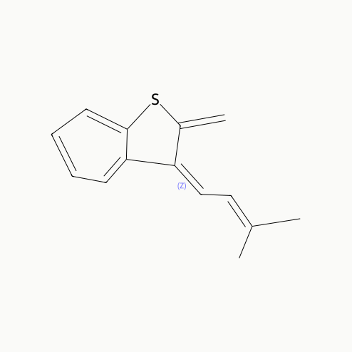 C=c1sc2ccccc2/c1=C/C=C(C)C